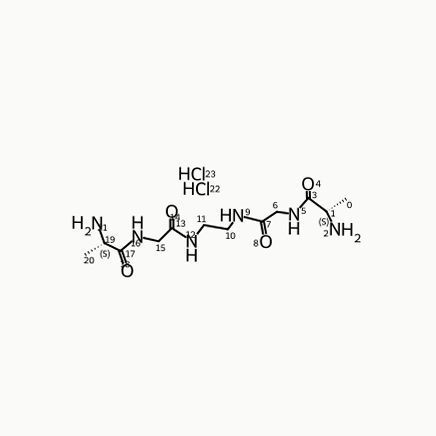 C[C@H](N)C(=O)NCC(=O)NCCNC(=O)CNC(=O)[C@H](C)N.Cl.Cl